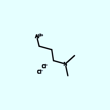 CN(C)CC[CH2][Al+2].[Cl-].[Cl-]